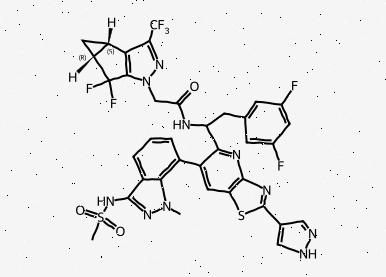 Cn1nc(NS(C)(=O)=O)c2cccc(-c3cc4sc(-c5cn[nH]c5)nc4nc3C(Cc3cc(F)cc(F)c3)NC(=O)Cn3nc(C(F)(F)F)c4c3C(F)(F)[C@@H]3C[C@H]43)c21